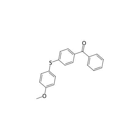 COc1ccc(Sc2ccc(C(=O)c3ccccc3)cc2)cc1